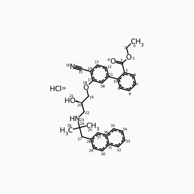 CCOC(=O)c1ccccc1-c1ccc(C#N)c(OC[C@H](O)CNC(C)(C)Cc2ccc3ccccc3c2)c1.Cl